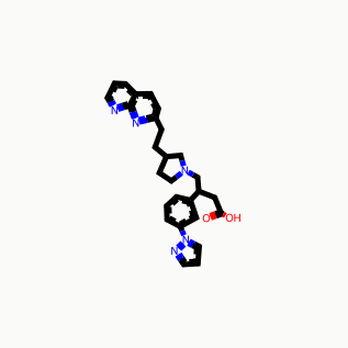 O=C(O)CC(CN1CCC(CCc2ccc3cccnc3n2)C1)c1cccc(-n2cccn2)c1